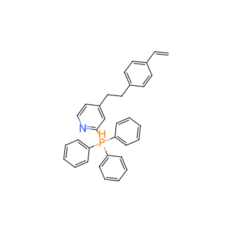 C=Cc1ccc(CCc2ccnc([PH](c3ccccc3)(c3ccccc3)c3ccccc3)c2)cc1